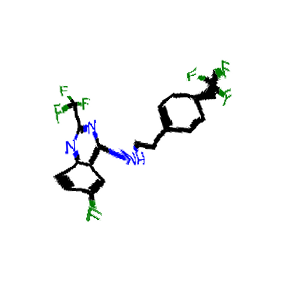 Fc1ccc2nc(C(F)(F)F)nc(NCCc3ccc(C(F)(F)F)cc3)c2c1